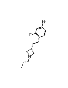 CCCN1CC(CCc2ccc(Br)cc2F)C1